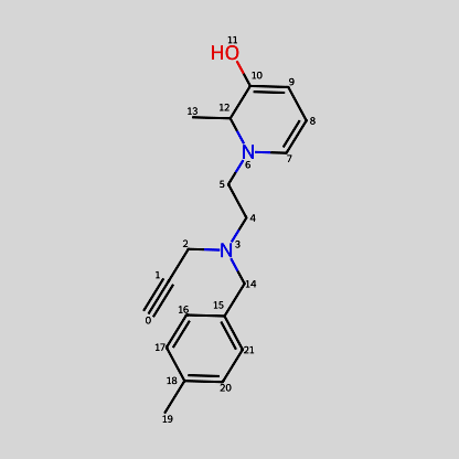 C#CCN(CCN1C=CC=C(O)C1C)Cc1ccc(C)cc1